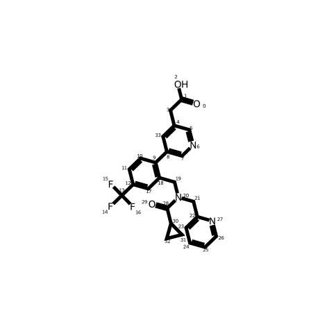 O=C(O)Cc1cncc(-c2ccc(C(F)(F)F)cc2CN(Cc2ccccn2)C(=O)C2CC2)c1